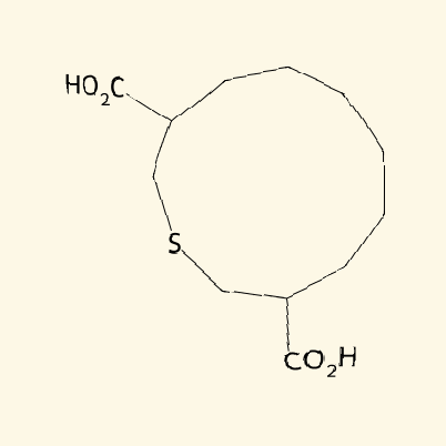 O=C(O)C1CCCCCCC(C(=O)O)CSC1